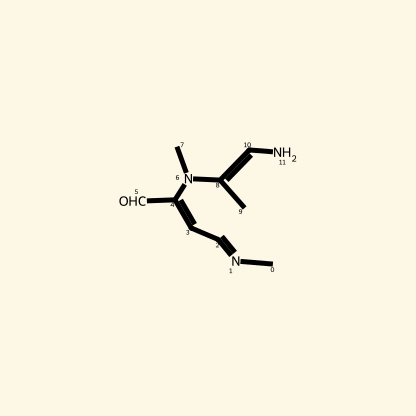 C/N=C/C=C(/C=O)N(C)/C(C)=C/N